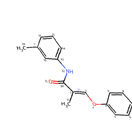 C/C(=C\Oc1ccccc1)C(=O)Nc1cccc(C)c1